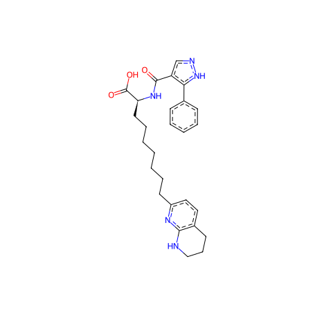 O=C(N[C@@H](CCCCCCCc1ccc2c(n1)NCCC2)C(=O)O)c1cn[nH]c1-c1ccccc1